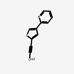 O=CC#Cc1cc(-c2ccccn2)cs1